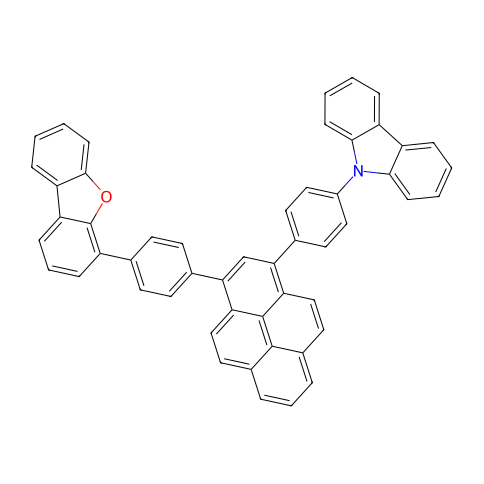 c1cc2ccc3c(-c4ccc(-c5cccc6c5oc5ccccc56)cc4)cc(-c4ccc(-n5c6ccccc6c6ccccc65)cc4)c4ccc(c1)c2c34